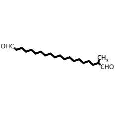 CC(C=O)CCCCCCCCCCCCCCCCCC=O